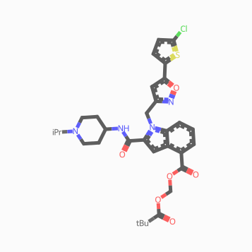 CC(C)N1CCC(NC(=O)c2cc3c(C(=O)OCOC(=O)C(C)(C)C)cccc3n2Cc2cc(-c3ccc(Cl)s3)on2)CC1